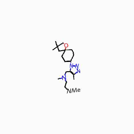 CNCCN(C)Cc1c(C)nnn1[C@H]1CC[C@@]2(CC1)CC(C)(C)CO2